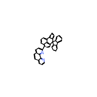 c1ccc2c(c1)-c1ccccc1C21c2ccccc2-c2cccc3c(-c4ccc5ccc6cccnc6c5n4)ccc1c23